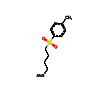 CSCCCCS(=O)(=O)c1ccc(C)cc1